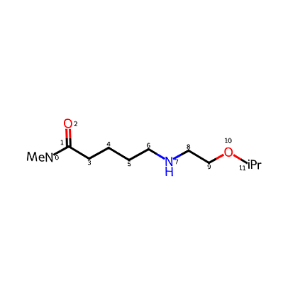 CNC(=O)CCCCNCCOC(C)C